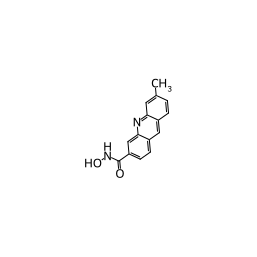 Cc1ccc2cc3ccc(C(=O)NO)cc3nc2c1